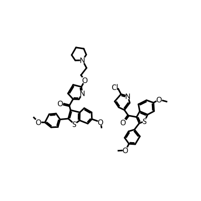 COc1ccc(-c2sc3cc(OC)ccc3c2C(=O)c2ccc(Cl)nc2)cc1.COc1ccc(-c2sc3cc(OC)ccc3c2C(=O)c2ccc(OCCN3CCCCC3)nc2)cc1